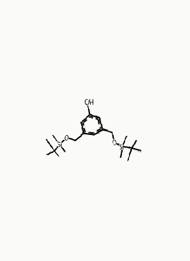 CC(C)(C)[Si](C)(C)OCc1cc(O)cc(CO[Si](C)(C)C(C)(C)C)c1